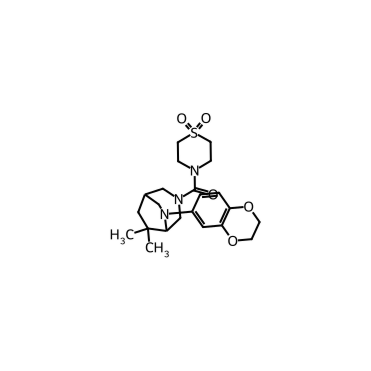 CC1(C)CC2CN(C(=O)N3CCS(=O)(=O)CC3)CC1N(c1ccc3c(c1)OCCO3)C2